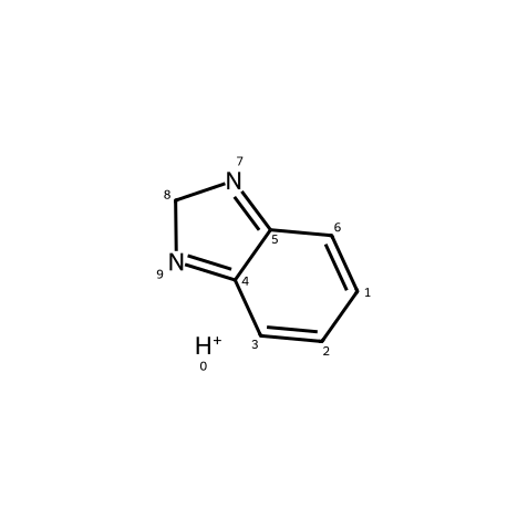 [H+].c1ccc2c(c1)=NCN=2